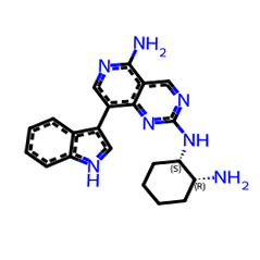 Nc1ncc(-c2c[nH]c3ccccc23)c2nc(N[C@H]3CCCC[C@H]3N)ncc12